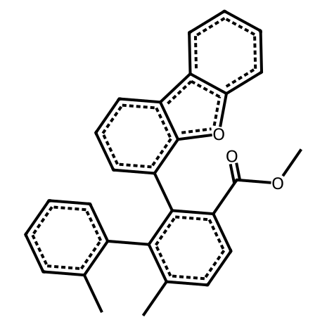 COC(=O)c1ccc(C)c(-c2ccccc2C)c1-c1cccc2c1oc1ccccc12